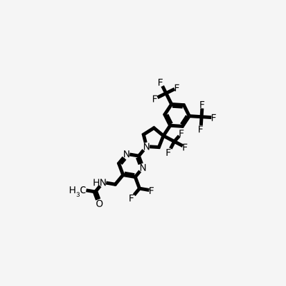 CC(=O)NCc1cnc(N2CCC(c3cc(C(F)(F)F)cc(C(F)(F)F)c3)(C(F)(F)F)C2)nc1C(F)F